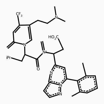 C=C1C=C(C(F)(F)F)C(CCN(C)C)=CN1C(CC(C)C)C(=O)[N+](=C)C(CC(=O)O)c1cc(-c2c(C)cccc2C)n2nccc2n1